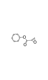 O=C(Oc1ccccc1)C1=CO1